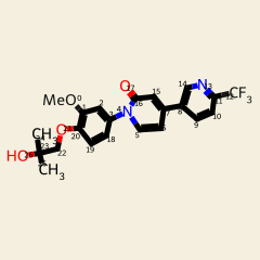 COc1cc(-n2ccc(-c3ccc(C(F)(F)F)nc3)cc2=O)ccc1OCC(C)(C)O